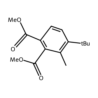 COC(=O)c1ccc(C(C)(C)C)c(C)c1C(=O)OC